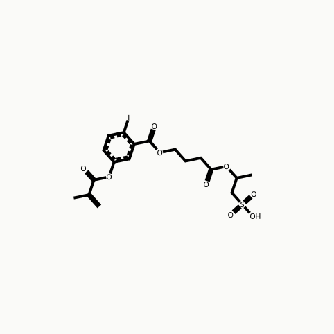 C=C(C)C(=O)Oc1ccc(I)c(C(=O)OCCCC(=O)OC(C)CS(=O)(=O)O)c1